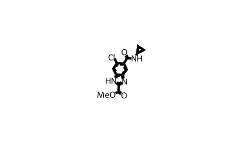 COC(=O)c1nc2cc(C(=O)NC3CC3)c(Cl)cc2[nH]1